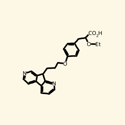 CCOC(Cc1ccc(OCCCC2c3cnccc3-c3cccnc32)cc1)C(=O)O